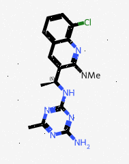 CNc1nc2c(Cl)cccc2cc1[C@H](C)Nc1nc(C)nc(N)n1